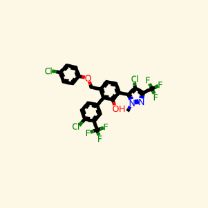 Cn1nc(C(F)(F)F)c(Cl)c1-c1ccc(COc2ccc(Cl)cc2)c(-c2ccc(Cl)c(C(F)(F)F)c2)c1O